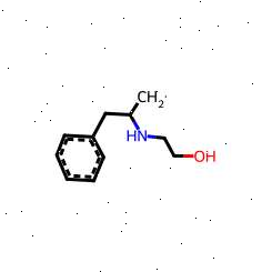 [CH2]C(Cc1ccccc1)NCCO